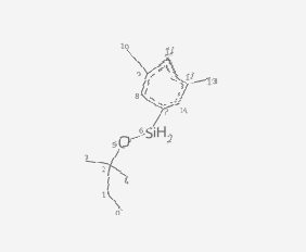 CCC(C)(C)O[SiH2]c1cc(C)cc(C)c1